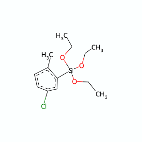 CCO[Si](OCC)(OCC)c1cc(Cl)ccc1C